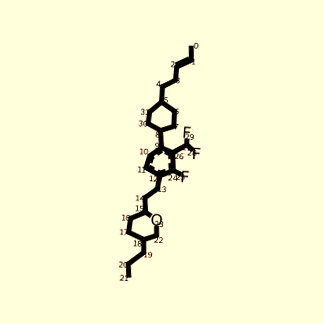 C/C=C/CCC1CCC(c2ccc(CCC3CCC(CCC)CO3)c(F)c2C(F)F)CC1